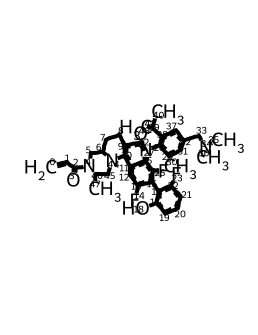 C=CC(=O)N1CC2CCc3c(c4cc(F)c(-c5c(O)cccc5F)c(F)c4n(-c4c(C)cc(CN(C)C)cc4C(C)C)c3=O)N2CC1C